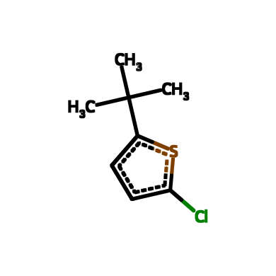 CC(C)(C)c1ccc(Cl)s1